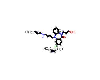 CCOC(=O)/C=C/CNCCCCN1c2cc(Cl)ccc2C(=O)N(CCCO)c2ccccc21.O=C(O)/C=C\C(=O)O